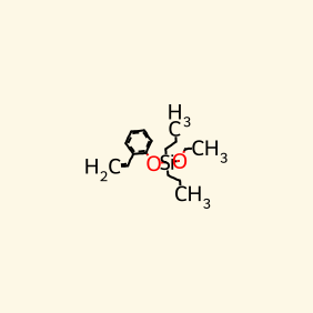 C=Cc1ccccc1O[Si](CCC)(CCC)OCC